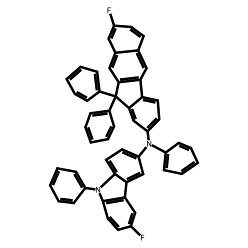 Fc1ccc2cc3c(cc2c1)C(c1ccccc1)(c1ccccc1)c1cc(N(c2ccccc2)c2ccc4c(c2)c2cc(F)ccc2n4-c2ccccc2)ccc1-3